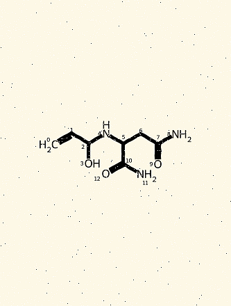 C=CC(O)NC(CC(N)=O)C(N)=O